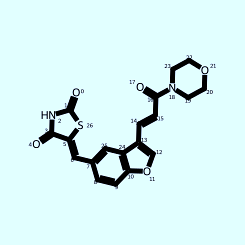 O=C1NC(=O)C(=Cc2ccc3occ(C=CC(=O)N4CCOCC4)c3c2)S1